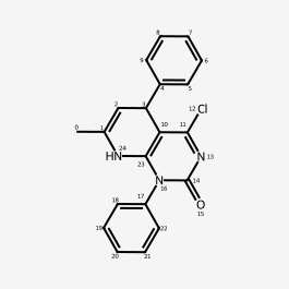 CC1=CC(c2ccccc2)c2c(Cl)nc(=O)n(-c3ccccc3)c2N1